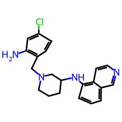 Nc1cc(Cl)ccc1CN1CCCC(Nc2cccc3cnccc23)C1